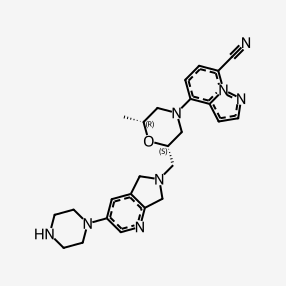 C[C@@H]1CN(c2ccc(C#N)n3nccc23)C[C@H](CN2Cc3cc(N4CCNCC4)cnc3C2)O1